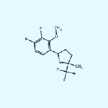 COc1c(C2CCC(C)(C(F)(F)F)S2)ccc(F)c1F